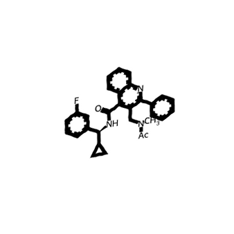 CC(=O)N(C)Cc1c(-c2ccccc2)nc2ccccc2c1C(=O)N[C@H](c1cccc(F)c1)C1CC1